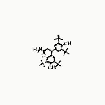 CC(C)(C)c1cc(C(CC(N)=O)c2cc(C(C)(C)C)c(O)c(C(C)(C)C)c2)cc(C(C)(C)C)c1O